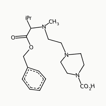 CC(C)C(C(=O)OCc1ccccc1)N(C)CCN1CCN(C(=O)O)CC1